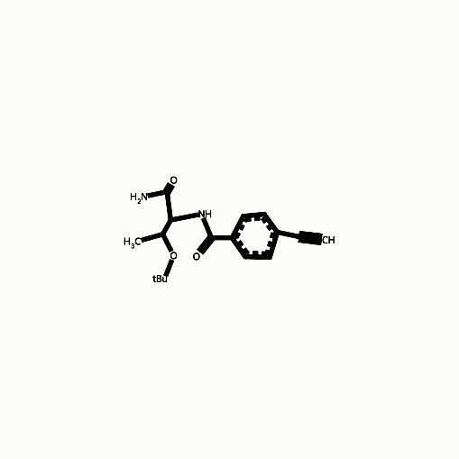 C#Cc1ccc(C(=O)NC(C(N)=O)C(C)OC(C)(C)C)cc1